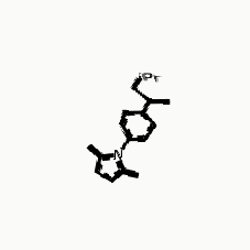 C=C(CC(C)C)c1ccc(-n2c(=C)ccc2=C)cc1